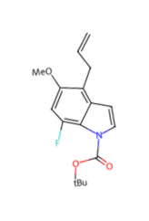 C=CCc1c(OC)cc(F)c2c1ccn2C(=O)OC(C)(C)C